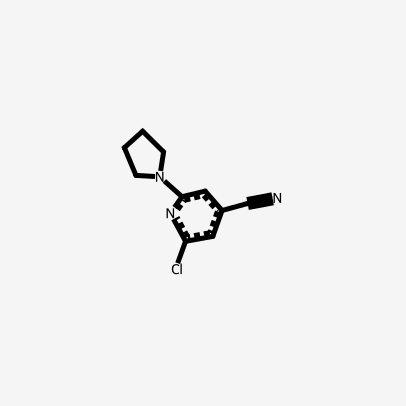 N#Cc1cc(Cl)nc(N2CCCC2)c1